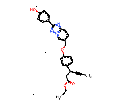 CC#CC(CC(=O)OCC)c1ccc(OCc2ccc3nc(-c4ccc(O)cc4)nn3c2)cc1